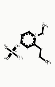 CCCc1cccc[n+]1CC.CS(=O)(=O)[O-]